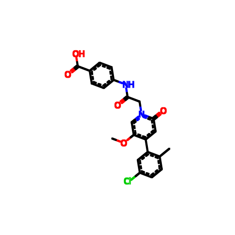 COc1cn(CC(=O)Nc2ccc(C(=O)O)cc2)c(=O)cc1-c1cc(Cl)ccc1C